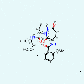 COc1ccccc1C(=O)N[C@H]1CCC(=O)N2CCC[C@@H](C(=O)N[C@H](C=O)CC(=O)O)N2C1=O